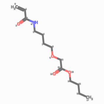 C=CC(=O)NCCCCOCC(=O)OCCCC